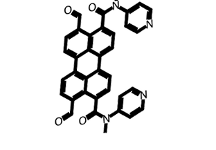 CN(C(=O)c1ccc2c3ccc(C(=O)N(C)c4ccncc4)c4c(C=O)ccc(c5ccc(C=O)c1c52)c43)c1ccncc1